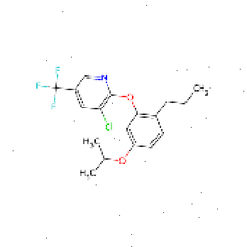 [CH2]CCc1ccc(OC(C)C)cc1Oc1ncc(C(F)(F)F)cc1Cl